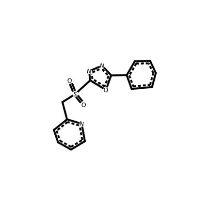 O=S(=O)(Cc1ccccn1)c1nnc(-c2ccccc2)o1